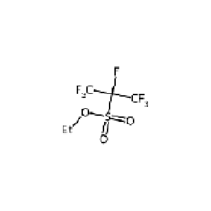 CCOS(=O)(=O)C(F)(C(F)(F)F)C(F)(F)F